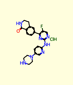 Cl.O=C1NCCc2cc(-c3nc(Nc4ccc(N5CCNCC5)cn4)ncc3F)ccc21